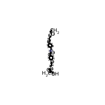 C=CC(=O)OCCCOc1ccc(/C=C/C(=O)Oc2ccc(OCCCOC(=O)C(=C)CO)cc2)cc1